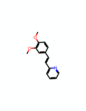 COc1ccc(C=Cc2ccccn2)cc1OC